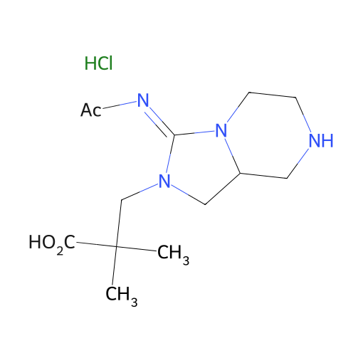 CC(=O)N=C1N(CC(C)(C)C(=O)O)CC2CNCCN12.Cl